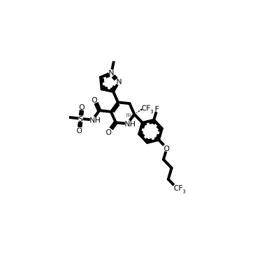 Cn1ccc(C2=C(C(=O)NS(C)(=O)=O)C(=O)N[C@@](c3ccc(OCCCC(F)(F)F)cc3F)(C(F)(F)F)C2)n1